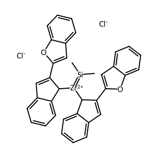 C[Si](C)=[Zr+2]([CH]1C(c2cc3ccccc3o2)=Cc2ccccc21)[CH]1C(c2cc3ccccc3o2)=Cc2ccccc21.[Cl-].[Cl-]